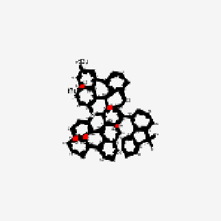 CC(C)(C)c1cc(-c2cccc3c2=C(c2ccccc2N(c2ccc(-c4cccc5c4-c4ccccc4C5(C)C)cc2)c2ccccc2-c2cccc4cccc(-c5ccccc5)c24)CCC=3)cc(C(C)(C)C)c1